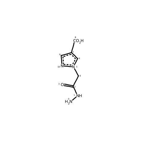 NNC(=O)Cn1cc(C(=O)O)cn1